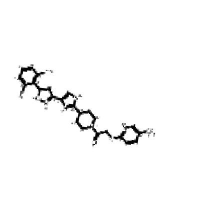 O=C(CSc1ccc(C(F)(F)F)cn1)N1CCC(c2nc(C3=NOC(c4c(F)cccc4F)C3)cs2)CC1